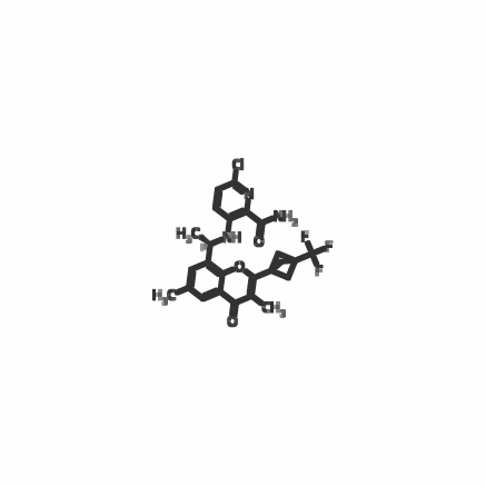 Cc1cc([C@@H](C)Nc2ccc(Cl)nc2C(N)=O)c2oc(C34CC(C(F)(F)F)(C3)C4)c(C)c(=O)c2c1